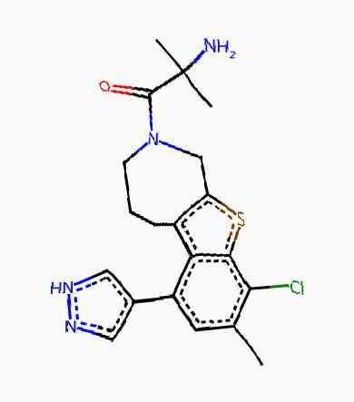 Cc1cc(-c2cn[nH]c2)c2c3c(sc2c1Cl)CN(C(=O)C(C)(C)N)CC3